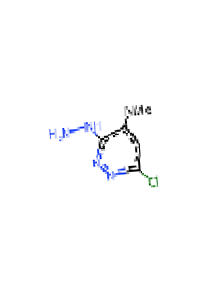 CNc1cc(Cl)nnc1NN